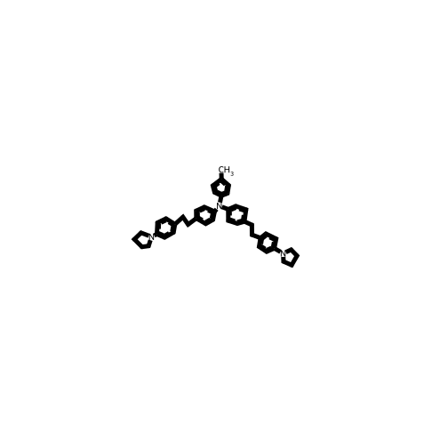 Cc1ccc(N(c2ccc(CCc3ccc(N4CCCC4)cc3)cc2)c2ccc(CCc3ccc(N4CCCC4)cc3)cc2)cc1